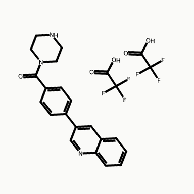 O=C(O)C(F)(F)F.O=C(O)C(F)(F)F.O=C(c1ccc(-c2cnc3ccccc3c2)cc1)N1CCNCC1